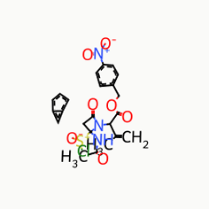 C=C(C)C(C(=O)OCc1ccc([N+](=O)[O-])cc1)N1C(=O)CC1(NC(C)=O)[S+]([O-])Cl.c1cc2cc-2c1